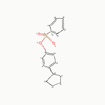 O=S(=O)(Oc1ccc(C2CCCC2)cc1)c1ccccc1